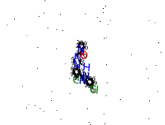 O=C(CN1CCN(c2ccc(Cl)c(-c3nc4cc(Cl)ccc4[nH]3)c2)CC1)N1CCCC1